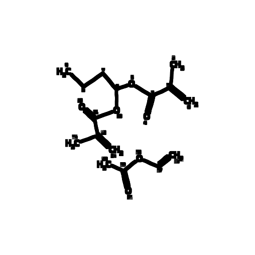 C=C(C)C(=O)OC(CCC)OC(=O)C(=C)C.C=COC(C)=O